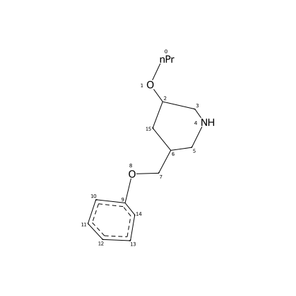 CCCOC1CNCC(COc2ccccc2)C1